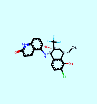 CC[C@H]1C[C@](O)(C(F)(F)F)[C@@H](Nc2cccc3[nH]c(=O)ccc23)c2ccc(Cl)c(O)c21